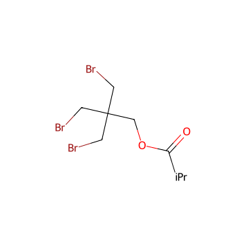 CC(C)C(=O)OCC(CBr)(CBr)CBr